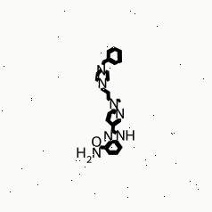 CN(CCCN1CCN(Cc2ccccc2)CC1)c1ccc(-c2nc3c(C(N)=O)cccc3[nH]2)cn1